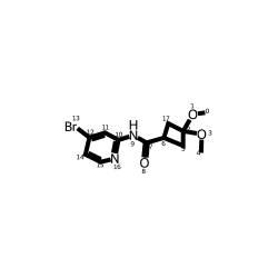 COC1(OC)CC(C(=O)Nc2cc(Br)ccn2)C1